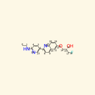 CCNc1ccc(-c2ccc3cc(OC[C@H](O)CF)ccc3n2)cn1